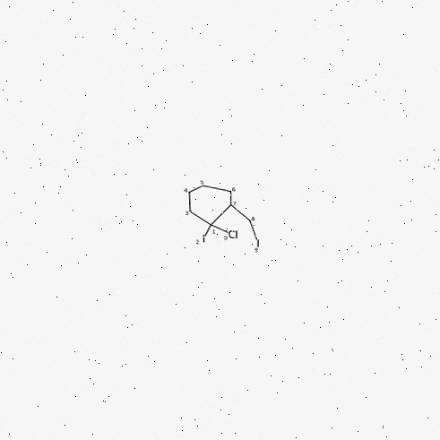 ClC1(I)CCCCC1CI